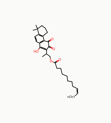 CCCCCCCC/C=C\CCCCCCCC(=O)OCC(C)C1=C(O)c2ccc3c(c2C(=O)C1=O)CCCC3(C)C